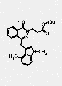 Cc1cccc2c1c(Cc1nn(CCC(=O)OC(C)(C)C)c(=O)c3ccccc13)cn2C